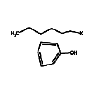 CCCCC[CH2][K].Oc1ccccc1